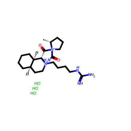 C[C@@H]1CCC[N+]1(C(N)=O)C(=O)[C@H]1[C@@H]2CCCC[C@@H]2CCN1CCCCNC(=N)N.Cl.Cl.Cl